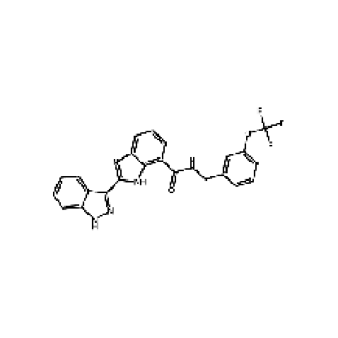 O=C(NCc1cccc(OC(F)(F)F)c1)c1cccc2nc(-c3n[nH]c4ccccc34)[nH]c12